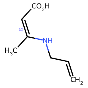 C=CCN/C(C)=C\C(=O)O